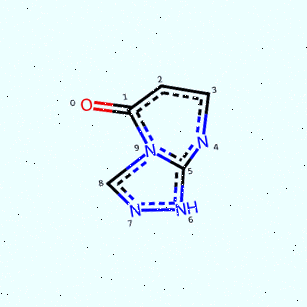 O=c1ccnc2[nH]ncn12